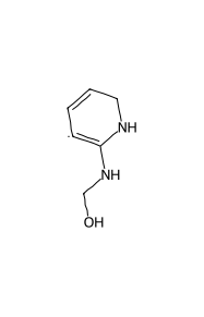 OCNC1=[C]C=CCN1